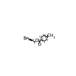 CN1CCN(C(=O)OCC#CBr)CC1